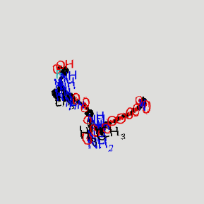 Cc1cccc(-c2nc(CNc3cccc(C(=O)O)c3F)[nH]c2-c2ccc3ncc(OCCNC(=O)OCc4ccc(NC(=O)[C@H](CCCNC(N)=O)NC(=O)C(NC(=O)CCOCCOCCOCCOCCN5C(=O)C=CC5=O)C(C)C)cc4)cc3n2)n1